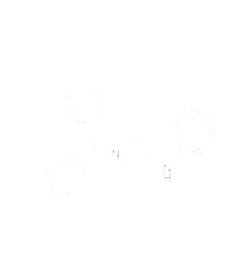 c1ccc(NC2CN(C(c3ccccc3)c3ccccc3)C2)cc1